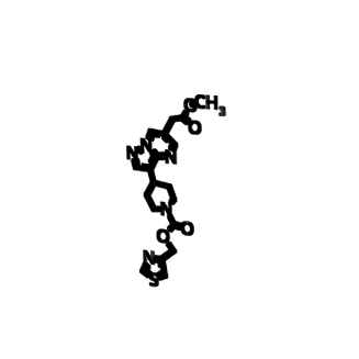 COC(=O)Cc1cnc2c(C3CCN(C(=O)OCc4cscn4)CC3)cnn2c1